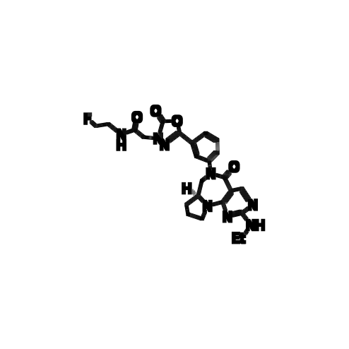 CCNc1ncc2c(n1)N1CCC[C@H]1CN(c1cccc(-c3nn(CC(=O)NCCF)c(=O)o3)c1)C2=O